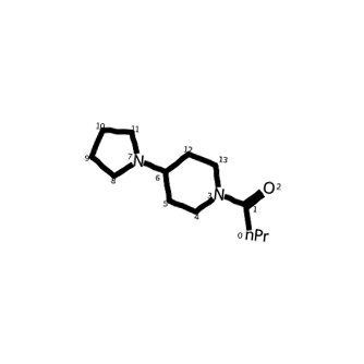 CCCC(=O)N1CCC(N2CCCC2)CC1